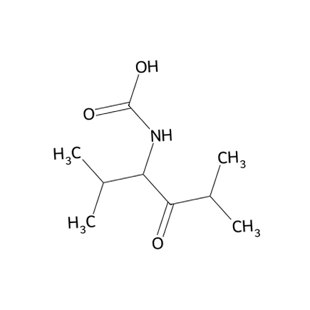 CC(C)C(=O)C(NC(=O)O)C(C)C